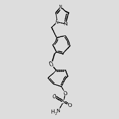 NS(=O)(=O)Oc1ccc(Oc2cccc(Cn3cncn3)c2)cc1